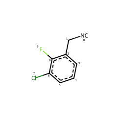 [C-]#[N+]Cc1cccc(Cl)c1F